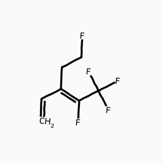 C=CC(CCF)=C(F)C(F)(F)F